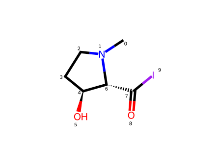 CN1CC[C@H](O)[C@H]1C(=O)I